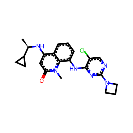 C[C@@H](Nc1cc(=O)n(C)c2c(Nc3nc(N4CCC4)ncc3Cl)cccc12)C1CC1